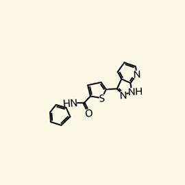 O=C(Nc1ccccc1)c1ccc(-c2n[nH]c3ncccc23)s1